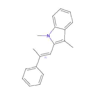 C/C(=C\c1c(C)c2ccccc2n1C)c1ccccc1